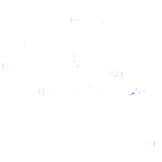 CCCC[C@H](N)C(=O)N[C@@H](CCC(=O)O)C(=O)N[C@@H](CCC(=O)O)C(=O)O